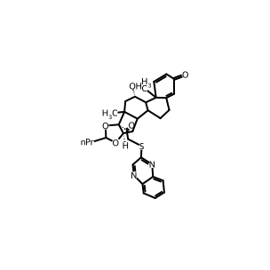 CCCC1O[C@@H]2CC3C4CCC5=CC(=O)C=CC5(C)C4[C@@H](O)CC3(C)[C@]2(C(=O)CSc2cnc3ccccc3n2)O1